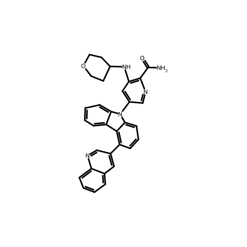 NC(=O)c1ncc(-n2c3ccccc3c3c(-c4cnc5ccccc5c4)cccc32)cc1NC1CCOCC1